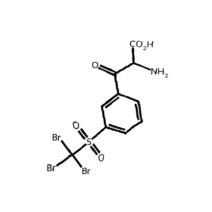 NC(C(=O)O)C(=O)c1cccc(S(=O)(=O)C(Br)(Br)Br)c1